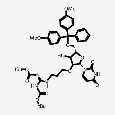 COc1ccc(C(OC[C@@H]2O[C@H](n3ccc(=O)[nH]c3=O)C(OCCCNC(=NC(=O)OC(C)(C)C)NC(=O)OC(C)(C)C)C2O)(c2ccccc2)c2ccc(OC)cc2)cc1